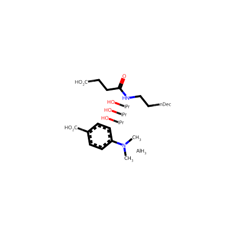 CC(C)O.CC(C)O.CC(C)O.CCCCCCCCCCCCNC(=O)CCC(=O)O.CN(C)c1ccc(C(=O)O)cc1.[AlH3]